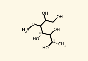 BOC(C(O)CO)[C@@H](O)C(O)[C@H](C)O